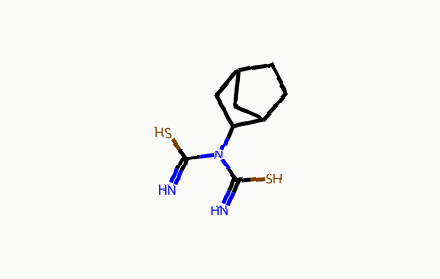 N=C(S)N(C(=N)S)C1CC2CCC1C2